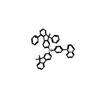 CC1(C)c2ccccc2-c2ccc(N(c3ccc(-c4cccc5ccccc45)cc3)c3ccc4c(c3)C(C)(c3ccccc3)c3cccc(-c5ccccc5)c3-4)cc21